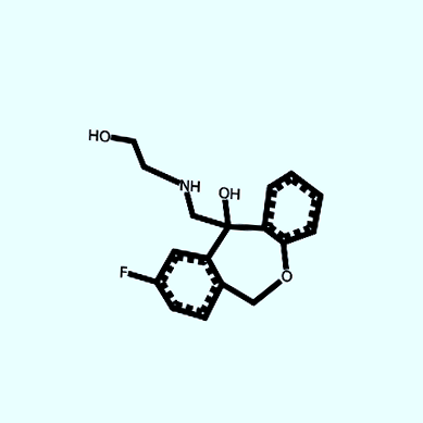 OCCNCC1(O)c2cc(F)ccc2COc2ccccc21